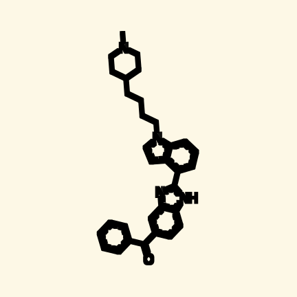 CN1CCC(CCCCn2ccc3c(-c4nc5cc(C(=O)c6ccccc6)ccc5[nH]4)cccc32)CC1